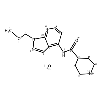 COCn1ncc2c(NC(=O)C3CCNCC3)ccnc21.O